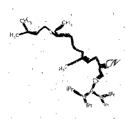 CC(C)=CCCC(C)=CCCC(C)=CCC(C#N)COP(N(C(C)C)C(C)C)N(C(C)C)C(C)C